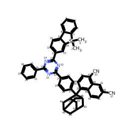 C[Si]1(C)c2ccccc2-c2ccc(-c3nc(-c4ccccc4)nc(-c4ccc(C5(c6ccc(C#N)c7cc(C#N)ccc67)C6CC7CC(C6)CC5C7)cc4)n3)cc21